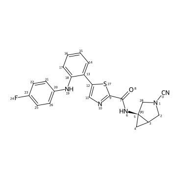 N#CN1CC2C[C@]2(NC(=O)c2ncc(-c3ccccc3Nc3ccc(F)cc3)s2)C1